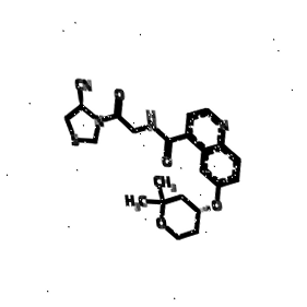 CC1(C)C[C@H](Oc2ccc3nccc(C(=O)NCC(=O)N4CSC[C@H]4C#N)c3c2)CCO1